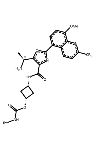 COc1ccc(-c2nc(C(=O)N[C@H]3C[C@@H](OC(=O)NC(C)C)C3)c([C@H](C)N)o2)c2ccc(C(F)(F)F)nc12